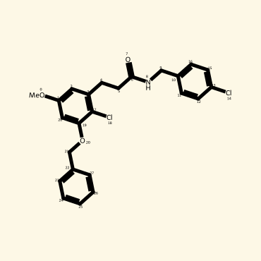 COc1cc(CCC(=O)NCc2ccc(Cl)cc2)c(Cl)c(OCc2ccccc2)c1